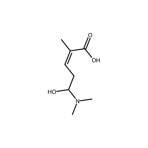 CC(=CCC(O)N(C)C)C(=O)O